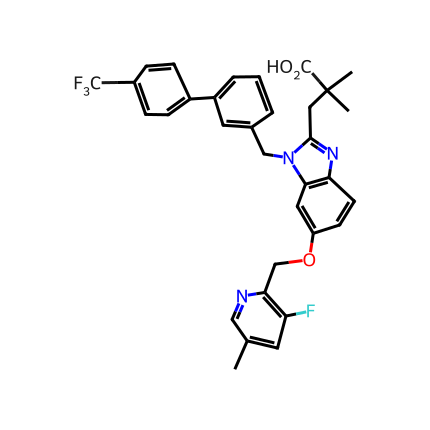 Cc1cnc(COc2ccc3nc(CC(C)(C)C(=O)O)n(Cc4cccc(-c5ccc(C(F)(F)F)cc5)c4)c3c2)c(F)c1